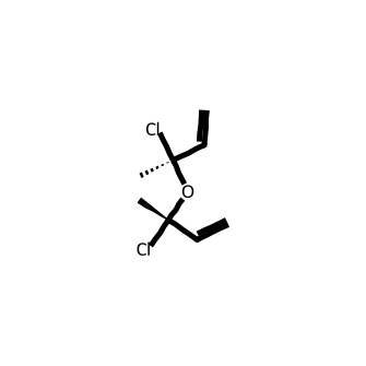 C=C[C@](C)(Cl)O[C@@](C)(Cl)C=C